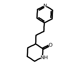 O=C1NCCCC1CCc1ccncc1